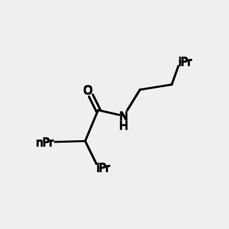 CCCC(C(=O)NCCC(C)C)C(C)C